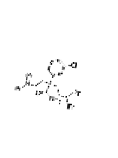 CC(C)N(CCC(CCN(C(C)C)C(C)C)(C(N)=O)c1cccc(Cl)c1)C(C)C